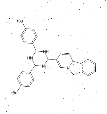 CC(C)(C)c1ccc(C2NC(C3=CN4Cc5ccccc5C4C=C3)NC(c3ccc(C(C)(C)C)cc3)N2)cc1